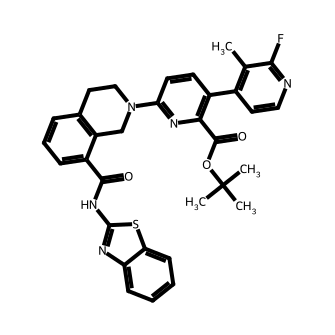 Cc1c(-c2ccc(N3CCc4cccc(C(=O)Nc5nc6ccccc6s5)c4C3)nc2C(=O)OC(C)(C)C)ccnc1F